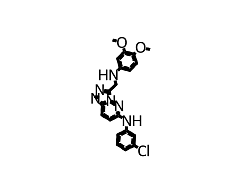 COc1ccc(NCc2nnc3ccc(Nc4cccc(Cl)c4)nn23)cc1OC